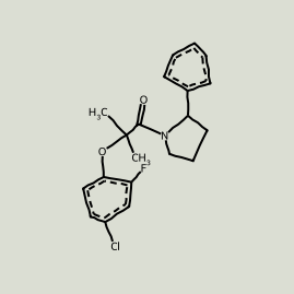 CC(C)(Oc1ccc(Cl)cc1F)C(=O)N1CCCC1c1ccccc1